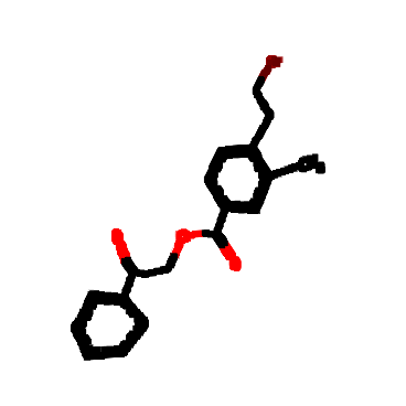 Cc1cc(C(=O)OCC(=O)c2ccccc2)ccc1CCBr